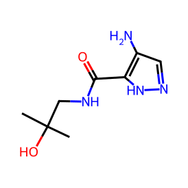 CC(C)(O)CNC(=O)c1[nH]ncc1N